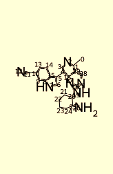 Cc1ncc(-c2c[nH]c3cc(C#N)ccc23)c2nc(NC3CCCCC3N)ncc12